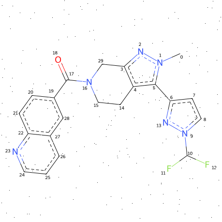 Cn1nc2c(c1-c1ccn(C(F)F)n1)CCN(C(=O)c1ccc3ncccc3c1)C2